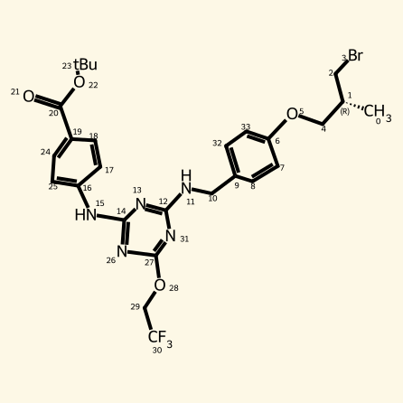 C[C@@H](CBr)COc1ccc(CNc2nc(Nc3ccc(C(=O)OC(C)(C)C)cc3)nc(OCC(F)(F)F)n2)cc1